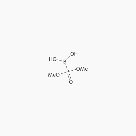 COP(=O)(OC)B(O)O